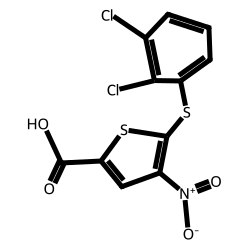 O=C(O)c1cc([N+](=O)[O-])c(Sc2cccc(Cl)c2Cl)s1